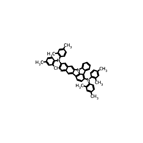 Cc1ccc(N(c2ccc3cc4c5ccc(N(c6ccc(C)cc6C)c6ccc(C)cc6C)c6c7ccccc7n(c4cc3c2)c56)c2ccc(C)cc2C)c(C)c1